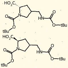 CC(C)(C)OC(=O)NCC1C[C@@H](C(=O)O)N(C(=O)OC(C)(C)C)C1.CC(C)(C)OC(=O)NCC1C[C@H](C(=O)O)N(C(=O)OC(C)(C)C)C1